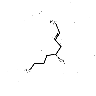 CC=CCC(C)CCCC